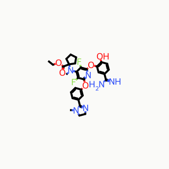 CCOC(=O)C1(N(C)c2c(F)c(Oc3cccc(C4=NCCN4C)c3)nc(Oc3cc(C(=N)N)ccc3O)c2F)CCCC1